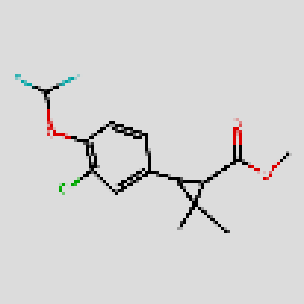 COC(=O)C1C(c2ccc(OC(F)F)c(Cl)c2)C1(C)C